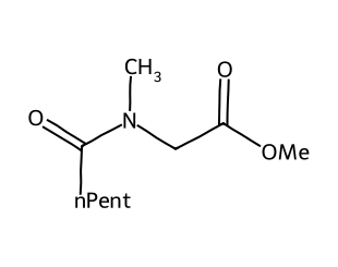 CCCCCC(=O)N(C)CC(=O)OC